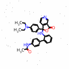 CCN(CC)c1ccc(C2(Nc3ccccc3-c3ccc(NC(C)=O)cc3)OC(=O)c3cnccc32)cc1